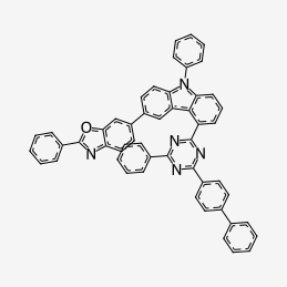 c1ccc(-c2ccc(-c3nc(-c4ccccc4)nc(-c4cccc5c4c4cc(-c6ccc7nc(-c8ccccc8)oc7c6)ccc4n5-c4ccccc4)n3)cc2)cc1